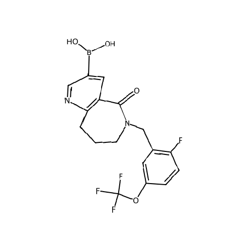 O=C1c2cc(B(O)O)cnc2CCCN1Cc1cc(OC(F)(F)F)ccc1F